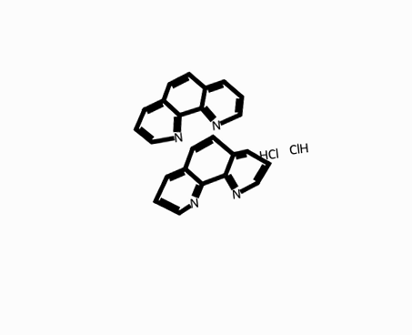 Cl.Cl.c1cnc2c(c1)ccc1cccnc12.c1cnc2c(c1)ccc1cccnc12